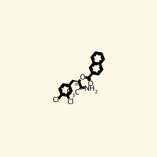 C[C@H](N)[C@@H](Cc1ccc(Cl)c(Cl)c1)OC(=O)c1ccc2ccccc2c1